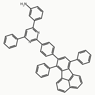 Nc1cccc(-c2cc(-c3ccccc3)nc(-c3ccc(-c4cc(-c5ccccc5)c5c(c4-c4ccccc4)-c4cccc6cccc-5c46)cc3)n2)c1